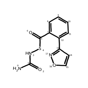 NC(=O)NSC(=O)c1ccccc1-c1ccon1